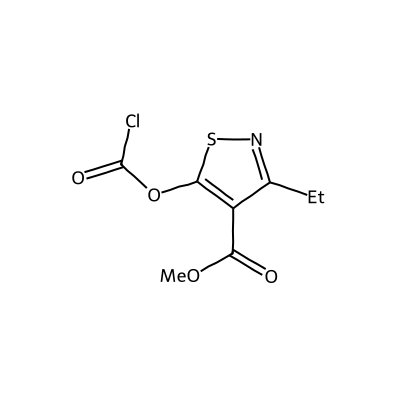 CCc1nsc(OC(=O)Cl)c1C(=O)OC